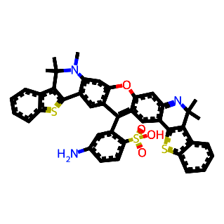 CN1c2cc3c(cc2-c2sc4ccccc4c2C1(C)C)C(c1cc(N)ccc1S(=O)(=O)O)=c1cc2c(cc1O3)=NC(C)(C)c1c-2sc2ccccc12